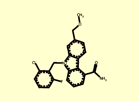 COCc1c[c]c2c3c(C(N)=O)cccc3n(Cc3c(F)cccc3Cl)c2c1